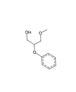 COCC(CO)Oc1ccccc1